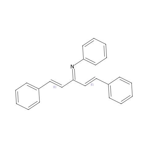 C(=C\c1ccccc1)/C(/C=C/c1ccccc1)=Nc1ccccc1